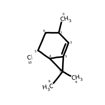 CC1C=C2C(CC1)C2(C)C.[C]